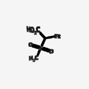 CCC(C(=O)O)S(C)(=O)=O